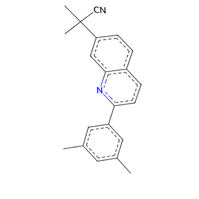 Cc1cc(C)cc(-c2ccc3ccc(C(C)(C)C#N)cc3n2)c1